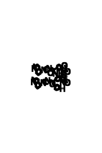 Cc1ccc2c(N3CCN(CC(C(N)=O)c4ccc5c(c4)NC(=O)CO5)CC3)cccc2n1.Cc1ccc2c(N3CCN(CC(Oc4ccccc4)c4ccc5c(c4)NC(=O)CO5)CC3)cccc2n1